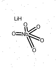 [LiH].[O]=[Nb](=[O])(=[O])(=[O])=[O]